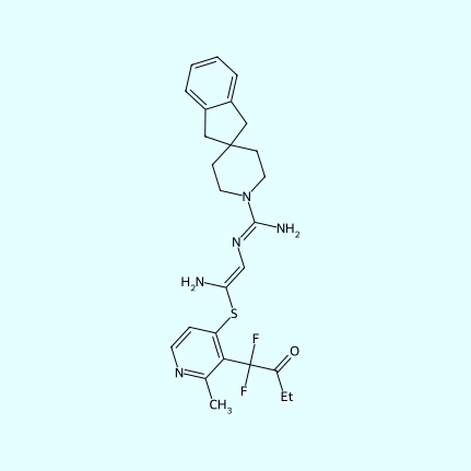 CCC(=O)C(F)(F)c1c(S/C(N)=C/N=C(\N)N2CCC3(CC2)Cc2ccccc2C3)ccnc1C